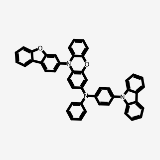 c1ccc(N(c2ccc(-n3c4ccccc4c4ccccc43)cc2)c2ccc3c(c2)Oc2ccccc2N3c2ccc3c(c2)oc2ccccc23)cc1